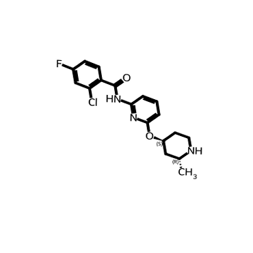 C[C@@H]1C[C@@H](Oc2cccc(NC(=O)c3ccc(F)cc3Cl)n2)CCN1